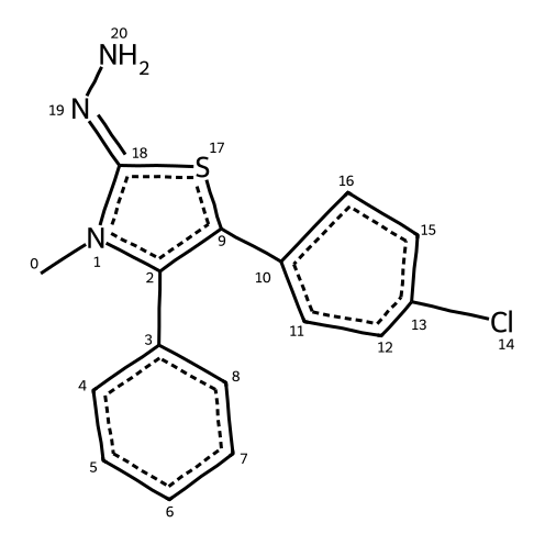 Cn1c(-c2ccccc2)c(-c2ccc(Cl)cc2)sc1=NN